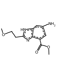 COCCc1nc2c(C(=O)OC)cc(N)cc2[nH]1